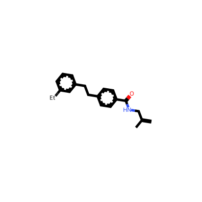 C=C(C)CNC(=O)c1ccc(CCc2cccc(CC)c2)cc1